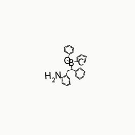 Nc1ccccc1CC(B(Oc1ccccc1)c1ccccc1)c1ccccc1